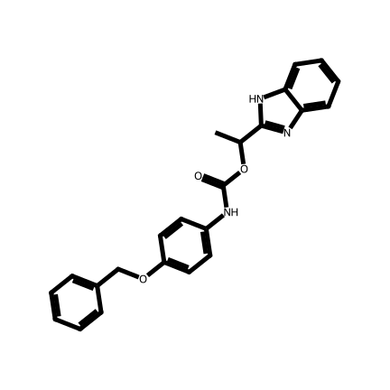 CC(OC(=O)Nc1ccc(OCc2ccccc2)cc1)c1nc2ccccc2[nH]1